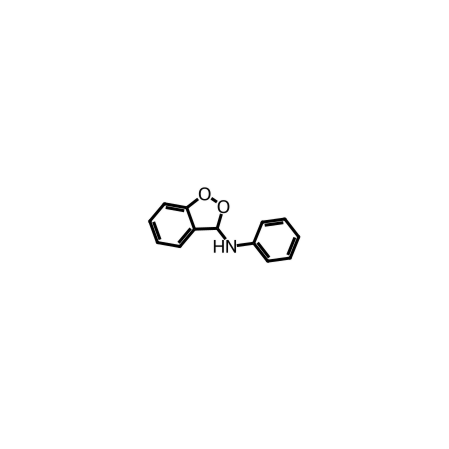 c1ccc(NC2OOc3ccccc32)cc1